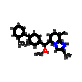 CCCOC(c1ccc(-c2ccccc2C(=O)O)cc1)c1ccc(C)c2nc(CCC)cn12